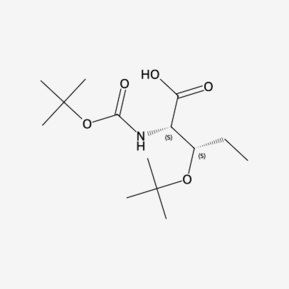 CC[C@H](OC(C)(C)C)[C@H](NC(=O)OC(C)(C)C)C(=O)O